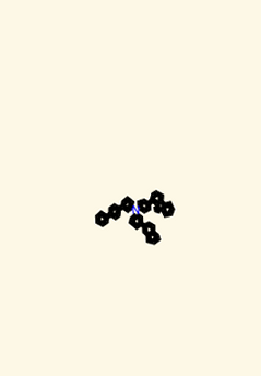 CC1(C)c2ccccc2-c2cccc(-c3ccc(N(c4cccc(-c5ccc(-c6ccccc6)cc5)c4)c4cccc(-c5ccc6ccccc6c5)c4)cc3)c21